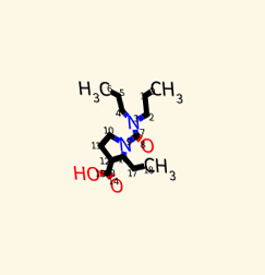 CCCN(CCC)C(=O)N1CCC(C(=O)O)C1CC